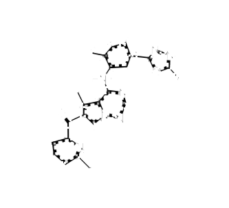 Cc1cccc(C(=O)c2cn3ncnc(Nc4cc(-c5nnc(C)o5)ccc4C)c3c2C)n1